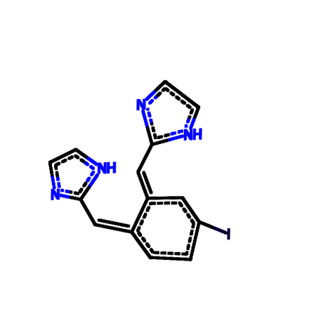 Ic1ccc(=Cc2ncc[nH]2)c(=Cc2ncc[nH]2)c1